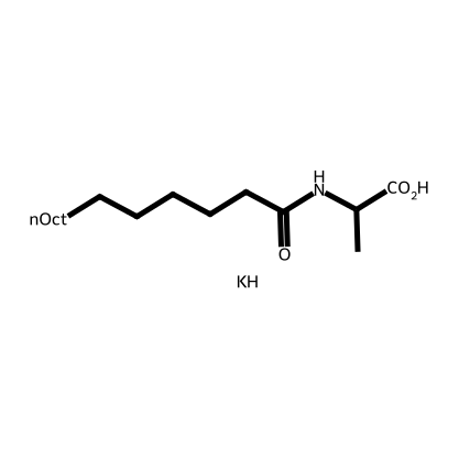 CCCCCCCCCCCCCC(=O)NC(C)C(=O)O.[KH]